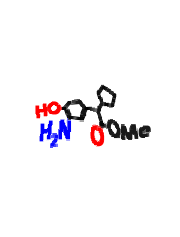 COC(=O)C(c1ccc(O)c(N)c1)C1CCCC1